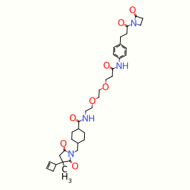 CC1(C2C=CC2)CC(=O)N(CC2CCC(C(=O)NCCOCCOCCC(=O)Nc3ccc(CCC(=O)N4CCC4=O)cc3)CC2)C1=O